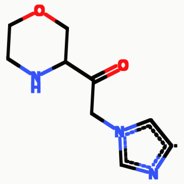 O=C(Cn1c[c]nc1)C1COCCN1